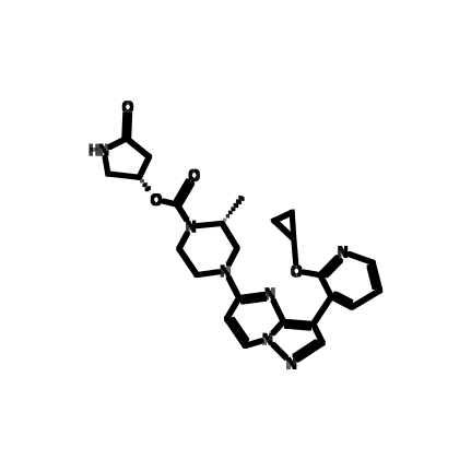 C[C@@H]1CN(c2ccn3ncc(-c4cccnc4OC4CC4)c3n2)CCN1C(=O)O[C@@H]1CNC(=O)C1